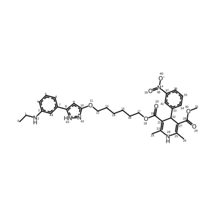 CCNc1cccc(-c2cc(OCCCCCCOC(=O)C3=C(C)NC(C)=C(C(=O)OC)C3c3cccc([N+](=O)[O-])c3)n[nH]2)c1